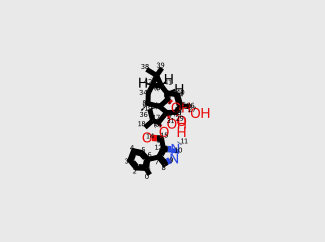 Cc1ccccc1-c1cnn(C)c1C(=O)O[C@H]1C(C)C[C@]23C(O)[C@@H](C=C(CO)[C@@H](O)[C@]12O)[C@H]1[C@@H](C[C@H]3C)C1(C)C